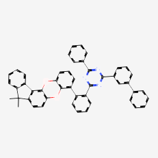 CC1(C)c2ccccc2-c2c1ccc1c2Oc2cccc(-c3ccccc3-c3nc(-c4ccccc4)nc(-c4cccc(-c5ccccc5)c4)n3)c2O1